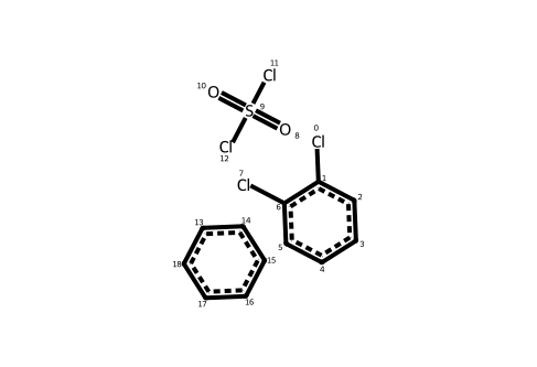 Clc1ccccc1Cl.O=S(=O)(Cl)Cl.c1ccccc1